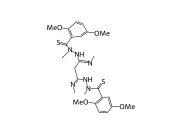 C/N=C(/C/C(=N/C)NN(C)C(=S)c1cc(OC)ccc1OC)NN(C)C(=S)c1cc(OC)ccc1OC